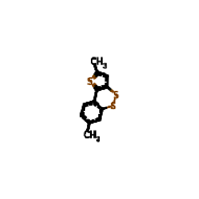 Cc1ccc2c(c1)SSc1cc(C)sc1-2